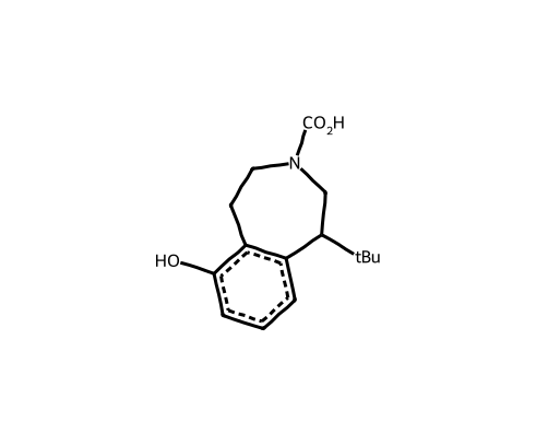 CC(C)(C)C1CN(C(=O)O)CCc2c(O)cccc21